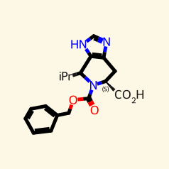 CC(C)C1c2[nH]cnc2C[C@@H](C(=O)O)N1C(=O)OCc1ccccc1